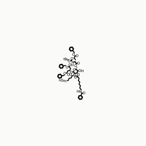 CCCCCCCCCCCCCC(=O)N[C@H]1[C@@H](OC(CC(=O)OCc2ccccc2)CC(=O)OCc2ccccc2)O[C@H](COC(=O)[C@@H](CCC(=O)OCc2ccccc2)NC(=O)OC(C)(C)C)[C@@H](O)[C@@H]1OC(=O)CCCCCCCNC(=O)c1ccccc1